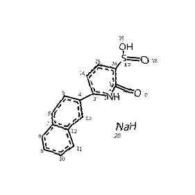 O=c1[nH]c(-c2ccc3ccccc3c2)ccc1S(=O)O.[NaH]